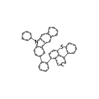 c1ccc(-n2c3ccc(-c4ccccc4-c4ccc5c6c(cccc46)-c4ccccc4S5)cc3c3cc4ccccc4cc32)cc1